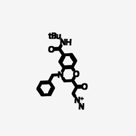 CC(C)(C)NC(=O)c1ccc2c(c1)N(Cc1ccccc1)CC(C(=O)C[N+]#N)O2